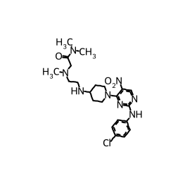 CN(CCNC1CCN(c2nc(Nc3ccc(Cl)cc3)ncc2[N+](=O)[O-])CC1)CC(=O)N(C)C